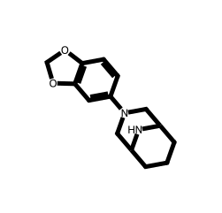 c1cc2c(cc1N1CC3CCCC(C1)N3)OCO2